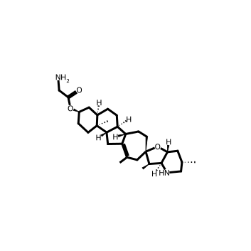 CC1=C2C[C@H]3[C@@H](CC[C@@H]4C[C@H](OC(=O)CN)CC[C@@]43C)[C@@H]2CC[C@@]2(C1)O[C@@H]1C[C@H](C)CN[C@H]1[C@H]2C